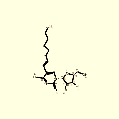 CCCCCCC=Cc1cn([C@@H]2O[C@H](CO)[C@@H](O)[C@H]2O)c(=O)nc1N